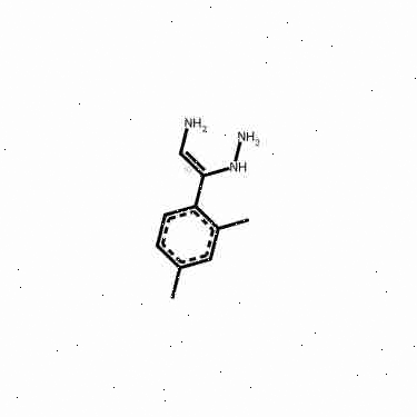 Cc1ccc(/C(=C/N)NN)c(C)c1